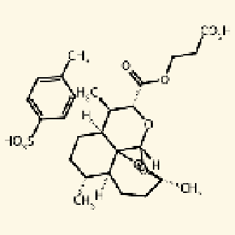 C[C@H]1[C@H](C(=O)OCCC(=O)O)O[C@@H]2O[C@]3(C)CC[C@H]4[C@H](C)CC[C@@H]1C24OO3.Cc1ccc(S(=O)(=O)O)cc1